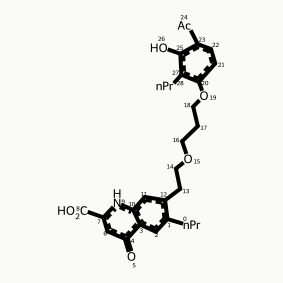 CCCc1cc2c(=O)cc(C(=O)O)[nH]c2cc1CCOCCCOc1ccc(C(C)=O)c(O)c1CCC